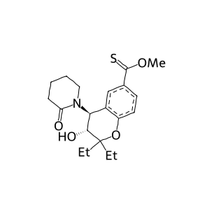 CCC1(CC)Oc2ccc(C(=S)OC)cc2[C@H](N2CCCCC2=O)[C@H]1O